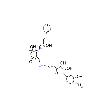 Cc1ccc(CC(O)N(C)C(=O)CCC/C=C\C[C@H]2C(=O)C[C@@H](O)[C@@H]2/C=C/[C@@H](O)CCc2ccccc2)cc1O